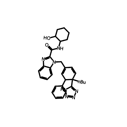 CCCCC1(c2nnn[nH]2)C=CC(Cn2c(C(=O)NC3CCCCC3O)nc3ccccc32)=CC1c1ccccc1